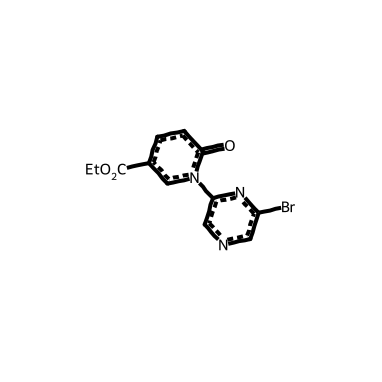 CCOC(=O)c1ccc(=O)n(-c2cncc(Br)n2)c1